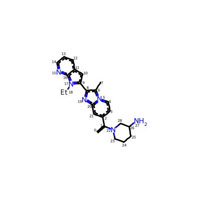 C=C(c1ccn2c(C)c(-c3cc4cccnc4n3CC)nc2c1)N1CCCC(N)C1